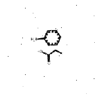 Nc1ccccc1.O=C(O)CF